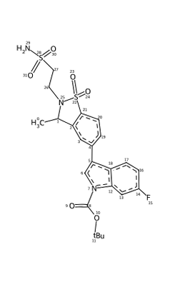 CC1c2cc(-c3cn(C(=O)OC(C)(C)C)c4cc(F)ccc34)ccc2S(=O)(=O)N1CCS(N)(=O)=O